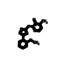 COc1ccccc1-c1noc(Cn2nccc(C)c2=O)n1